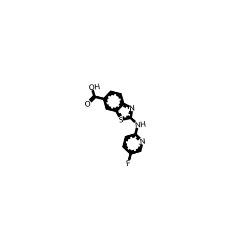 O=C(O)c1ccc2nc(Nc3ccc(F)cn3)sc2c1